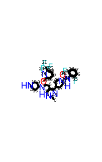 Cc1ncc(CC(NC2CCNCC2)Oc2cccc(C(F)(F)F)n2)c(C2CCN(C(=O)Nc3c(F)cccc3F)CC2)n1